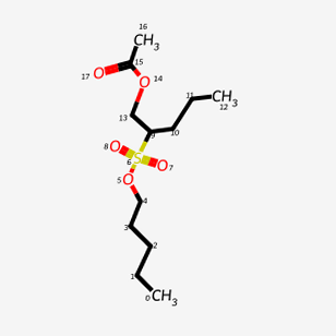 CCCCCOS(=O)(=O)C(CCC)COC(C)=O